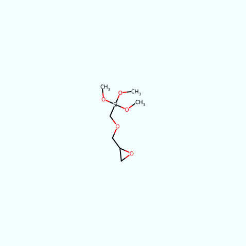 CO[Si](COCC1CO1)(OC)OC